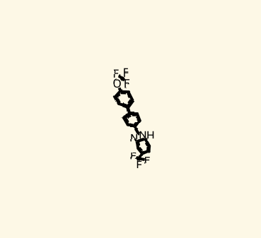 FC(F)(F)Oc1ccc(-c2ccc(-c3nc4cc(C(F)(F)F)ccc4[nH]3)cc2)cc1